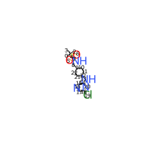 CC(C)(C)S(=O)(=O)NC[C@H]1CC[C@H](Nc2cncc(Cl)n2)CC1